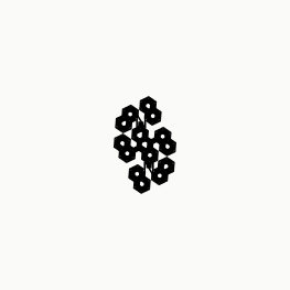 C1=C2C(c3cccc4ccccc34)=c3ccc(N(c4cccc5ccccc45)c4cccc5ccccc45)cc3=C(c3cccc4ccccc34)C2CC=C1N(c1cccc2ccccc12)c1cccc2ccccc12